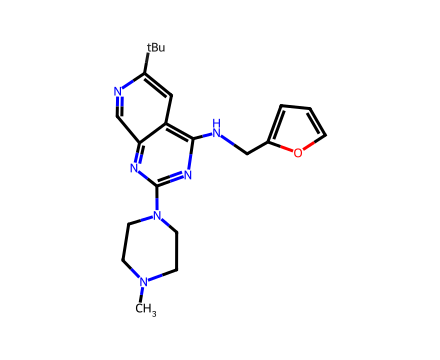 CN1CCN(c2nc(NCc3ccco3)c3cc(C(C)(C)C)ncc3n2)CC1